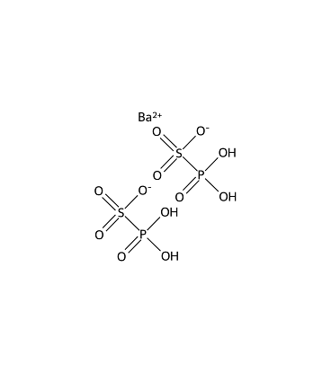 O=P(O)(O)S(=O)(=O)[O-].O=P(O)(O)S(=O)(=O)[O-].[Ba+2]